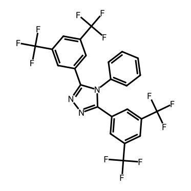 FC(F)(F)c1cc(-c2nnc(-c3cc(C(F)(F)F)cc(C(F)(F)F)c3)n2-c2ccccc2)cc(C(F)(F)F)c1